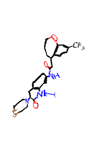 O=C(/C=C1\CCCOc2cc(C(F)(F)F)ccc21)Nc1ccc2cc(N3CCSCC3)c(=O)[nH]c2c1